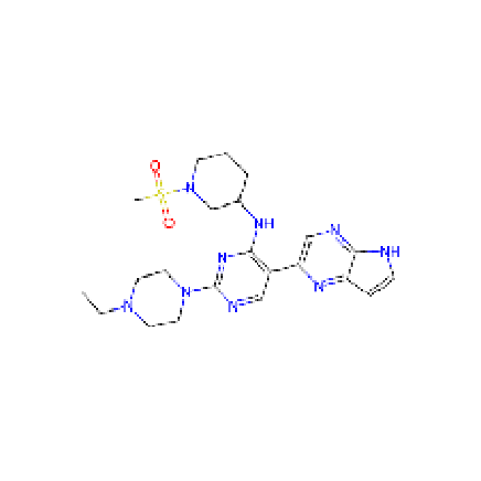 CCN1CCN(c2ncc(-c3cnc4[nH]ccc4n3)c(NC3CCCN(S(C)(=O)=O)C3)n2)CC1